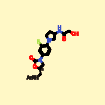 CC(=O)NC[C@H]1CN(c2ccc(N3CCC(NC(=O)CO)C3)c(F)c2)C(=O)O1